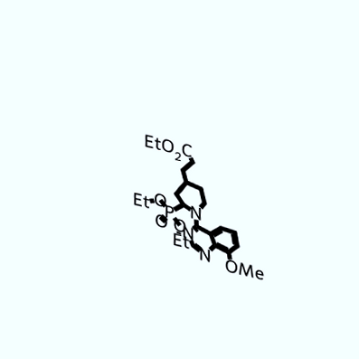 CCOC(=O)CCC1CCN(c2ncnc3c(OC)cccc23)C(P(=O)(OCC)OCC)C1